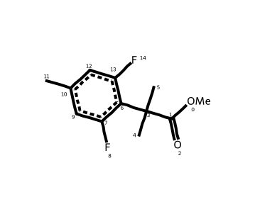 COC(=O)C(C)(C)c1c(F)cc(C)cc1F